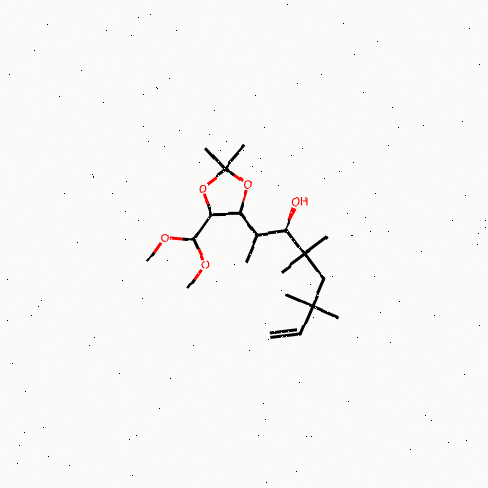 C=CC(C)(C)CC(C)(C)[C@H](O)C(C)C1OC(C)(C)OC1C(OC)OC